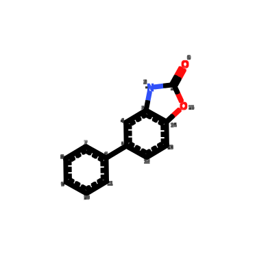 O=C1[N]c2cc(-c3ccccc3)ccc2O1